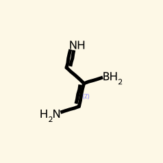 B/C(C=N)=C/N